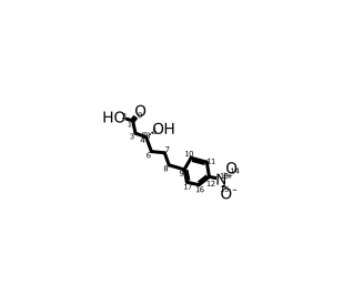 O=C(O)C[C@H](O)CCCc1ccc([N+](=O)[O-])cc1